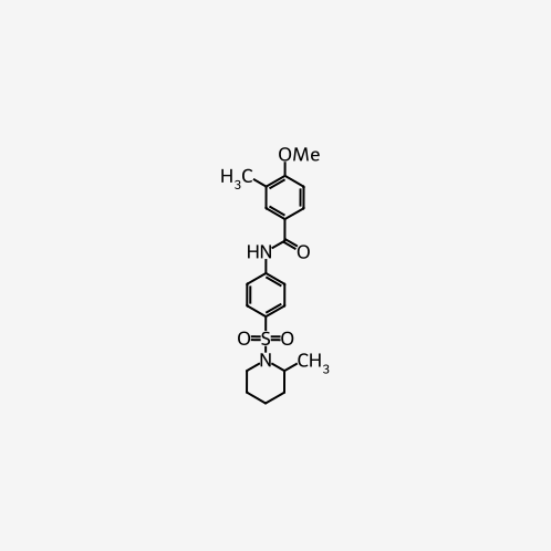 COc1ccc(C(=O)Nc2ccc(S(=O)(=O)N3CCCCC3C)cc2)cc1C